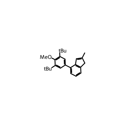 COc1c(C(C)(C)C)cc(-c2cccc3c2C=C(C)C3)cc1C(C)(C)C